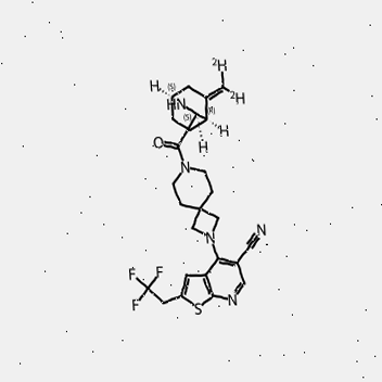 [2H]C([2H])=C1C[C@@H]2CC[C@H]1[C@@H](C(=O)N1CCC3(CC1)CN(c1c(C#N)cnc4sc(CC(F)(F)F)cc14)C3)N2